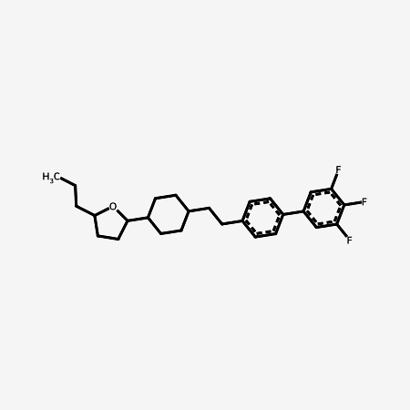 CCCC1CCC(C2CCC(CCc3ccc(-c4cc(F)c(F)c(F)c4)cc3)CC2)O1